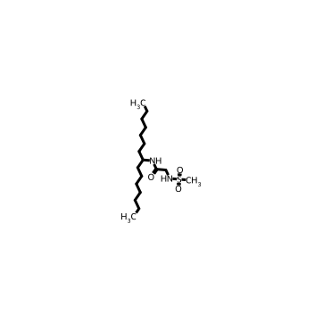 CCCCCCCC(CCCCCCC)NC(=O)CNS(C)(=O)=O